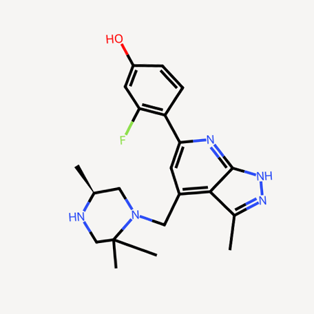 Cc1n[nH]c2nc(-c3ccc(O)cc3F)cc(CN3C[C@H](C)NCC3(C)C)c12